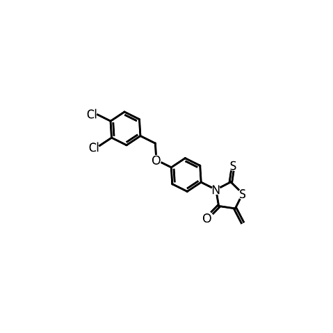 C=C1SC(=S)N(c2ccc(OCc3ccc(Cl)c(Cl)c3)cc2)C1=O